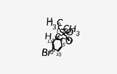 CCS(C)(C)S(=O)(=O)c1ccc(Br)cc1